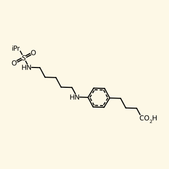 CC(C)S(=O)(=O)NCCCCCNc1ccc(CCCC(=O)O)cc1